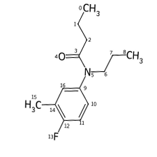 CCCC(=O)N(CCC)c1ccc(F)c(C)c1